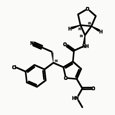 CNC(=O)c1cc(C(=O)N[C@H]2[C@@H]3COC[C@@H]32)c([C@@H](CC#N)c2cccc(Cl)c2)o1